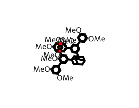 COc1cc(OC)cc(-c2cc(C34CC5CC(C3)CC(c3cc(-c6cc(OC)cc(OC)c6)c(OC)c(-c6cc(OC)cc(OC)c6)c3)(C5)C4)cc(-c3cc(OC)cc(OC)c3)c2OC)c1